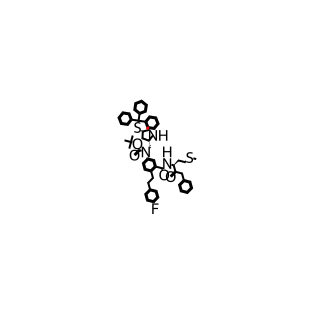 CSCC[C@H](NC(=O)c1cc(N(C[C@@H]2C[C@H](SC(c3ccccc3)(c3ccccc3)c3ccccc3)CN2)C(=O)OC(C)(C)C)ccc1CCc1ccc(F)cc1)C(=O)Cc1ccccc1